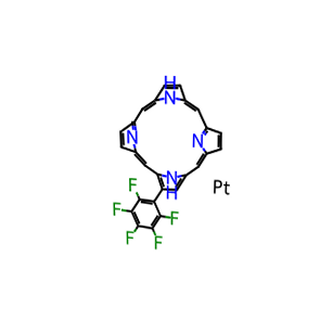 Fc1c(F)c(F)c(-c2cc3cc4nc(cc5ccc(cc6nc(cc2[nH]3)C=C6)[nH]5)C=C4)c(F)c1F.[Pt]